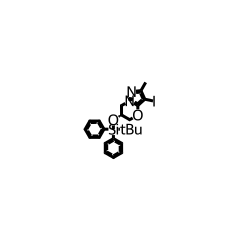 Cc1nn2c(c1I)OC[C@@H](O[Si](c1ccccc1)(c1ccccc1)C(C)(C)C)C2